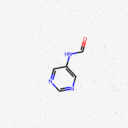 O=CNc1cncnc1